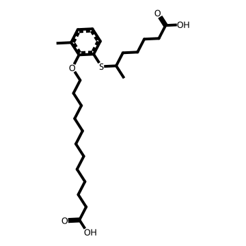 Cc1cccc(SC(C)CCCCC(=O)O)c1OCCCCCCCCCCCC(=O)O